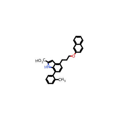 Cc1ccccc1-c1ccc(CCCOc2ccc3ccccc3c2)c2cc(C(=O)O)[nH]c12